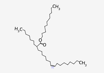 CCCCCCCC/C=C\CCCCCCC(CCCCCCC)C(=O)OCCCCCCCCCCC